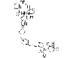 Cn1c(=O)n(C2CCC(=O)NC2=O)c2cccc(CCCC3CCN(C[C@H]4CC[C@H](n5cc6cc(NC(=O)c7cccc(C(F)(F)F)n7)c(N7C[C@@H]8C[C@H]7CO8)cc6n5)CC4)CC3)c21